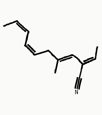 C/C=C\C=C/C/C(C)=C/C(C#N)=C\C